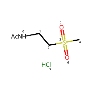 CC(=O)NCCS(C)(=O)=O.Cl